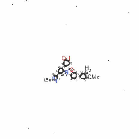 COc1ccc([C@H]2CC[C@H](CN(c3cccc(-c4cnn(C(C)(C)C)c4)c3)C(=O)[C@H]3CC[C@H](O)CC3)CC2)cc1C